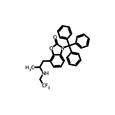 CC(Cc1cccc2c1oc(=O)n2C(c1ccccc1)(c1ccccc1)c1ccccc1)NCC(F)(F)F